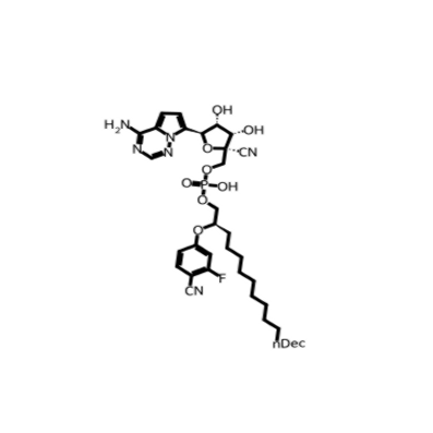 CCCCCCCCCCCCCCCCCCC[C@H](COP(=O)(O)OC[C@@]1(C#N)O[C@@H](c2ccc3c(N)ncnn23)[C@H](O)[C@@H]1O)Oc1ccc(C#N)c(F)c1